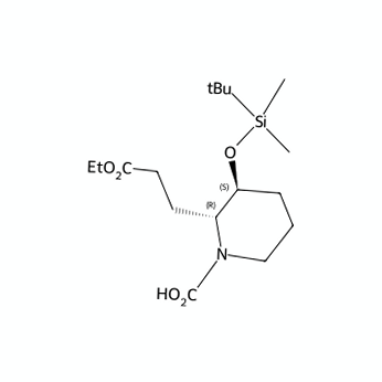 CCOC(=O)CC[C@@H]1[C@@H](O[Si](C)(C)C(C)(C)C)CCCN1C(=O)O